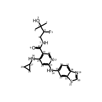 CC(C)(O)C(F)CNC(=O)c1cnc(Nc2ccc3ncsc3c2)cc1NC1CC1